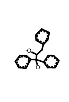 [O]C(Cc1ccccc1)C([O])(c1ccccc1)c1ccccc1